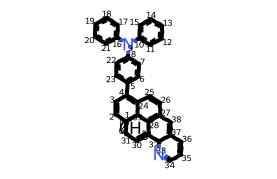 C[C@]12C=CC(c3ccc(N(c4ccccc4)c4ccccc4)cc3)=C3C=CC4=C(C(=CC1)C1N=CC=CC1=C4)C32